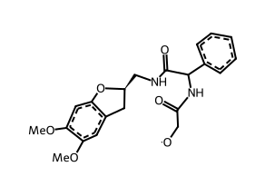 COc1cc2c(cc1OC)O[C@@H](CNC(=O)C(NC(=O)C[O])c1ccccc1)C2